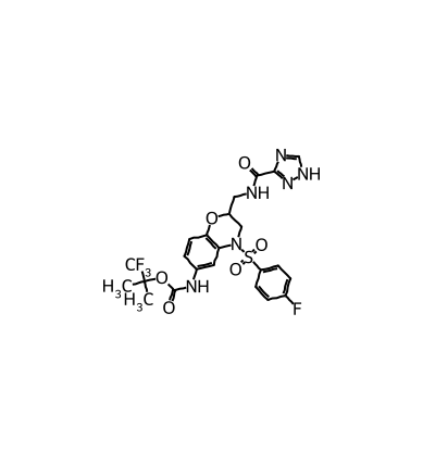 CC(C)(OC(=O)Nc1ccc2c(c1)N(S(=O)(=O)c1ccc(F)cc1)CC(CNC(=O)c1nc[nH]n1)O2)C(F)(F)F